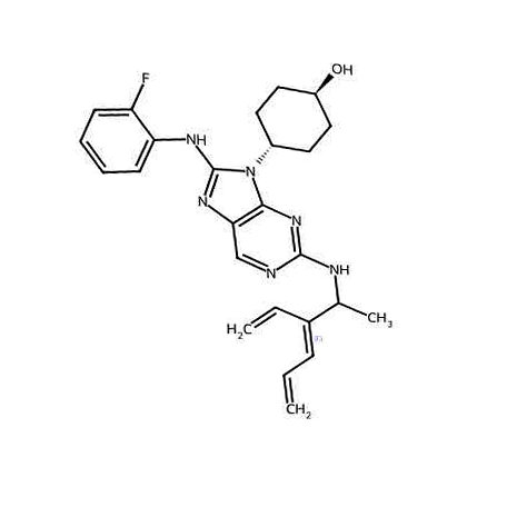 C=C/C=C(\C=C)C(C)Nc1ncc2nc(Nc3ccccc3F)n([C@H]3CC[C@H](O)CC3)c2n1